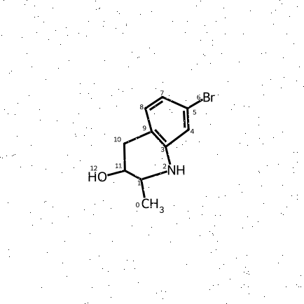 CC1Nc2cc(Br)ccc2CC1O